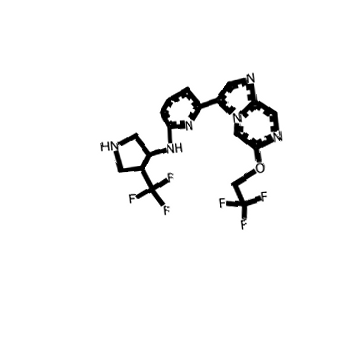 FC(F)(F)COc1cn2c(-c3cccc(NC4CNCC4C(F)(F)F)n3)cnc2cn1